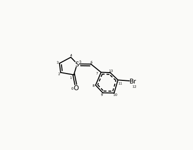 O=C1C=CC/S1=C/c1cccc(Br)c1